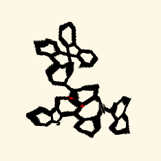 c1ccc(N(c2ccc(-c3ccc4c(c3)C3(c5ccccc5-c5ccccc53)c3ccccc3-4)cc2)c2cccc3ccccc23)c(-c2cccc3c2sc2ccccc23)c1